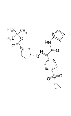 CC(C)(C)OC(=O)N1CC[C@@H](O/N=C(/C(=O)Nc2nccs2)c2ccc(S(=O)(=O)C3CC3)cc2)C1